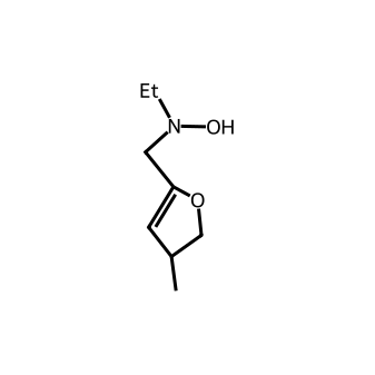 CCN(O)CC1=CC(C)CO1